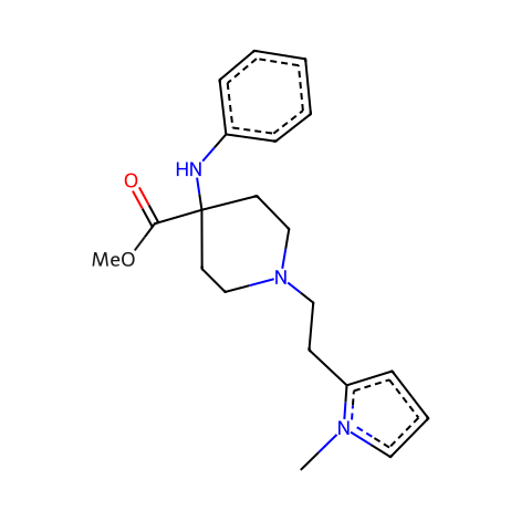 COC(=O)C1(Nc2ccccc2)CCN(CCc2cccn2C)CC1